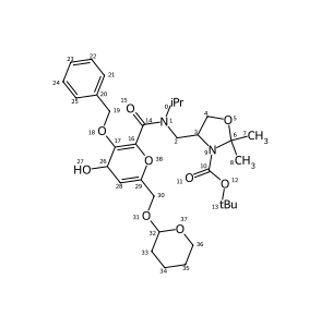 CC(C)N(CC1COC(C)(C)N1C(=O)OC(C)(C)C)C(=O)C1=C(OCc2ccccc2)C(O)C=C(COC2CCCCO2)O1